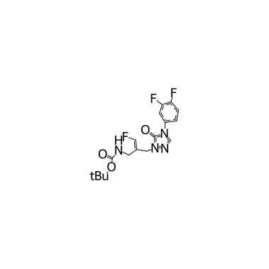 CC(C)(C)OC(=O)NCC(=CF)Cn1ncn(-c2ccc(F)c(F)c2)c1=O